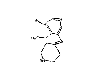 CCc1c(Br)cccc1C=C1CCNCC1